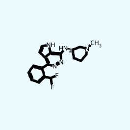 CN1CCC[C@@H](Nc2nnc(-c3ccccc3C(F)F)c3cc[nH]c23)C1